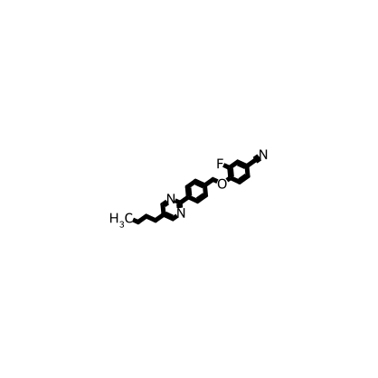 CCCCc1cnc(-c2ccc(COc3ccc(C#N)cc3F)cc2)nc1